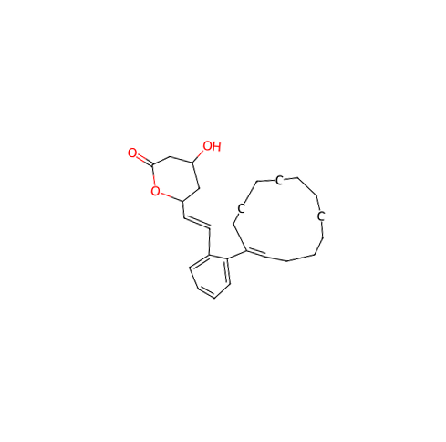 O=C1CC(O)CC(C=Cc2ccccc2C2=CCCCCCCCCCC2)O1